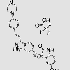 COc1ccc2c(c1)[C@]1(C[C@H]1c1ccc3c(C=Cc4ccc(N5CCNCC5)cc4)n[nH]c3c1)C(=O)N2.O=C(O)C(F)(F)F